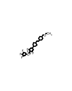 CCOCC1CCC(/C=C/C2CCC(c3cc(F)c(C(F)(F)Oc4cc(F)c(F)c(F)c4)c(F)c3)CC2)CC1